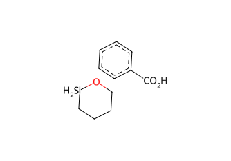 C1CC[SiH2]OC1.O=C(O)c1ccccc1